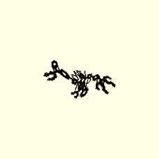 C=C/C=C(\C=C/C)c1nc2c(-c3ccc(-c4ccc(N(C(/C=C\C)=C/C=C)c5ccccc5)cc4)s3)c3nsnc3c(-c3ccc(-c4ccc(N(C(/C=C\C)=C/C=C)C(/C=C\C)=C/C=C)cc4)s3)c2nc1-c1ccccc1